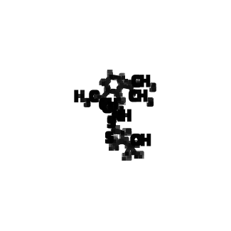 CC(C)c1cccc(C(C)C)c1CC(=O)NSc1cc(C2(O)CC2)cs1